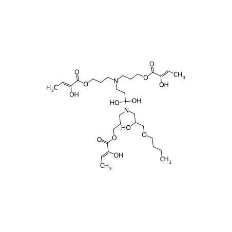 CC=C(O)C(=O)OCCCN(CCCOC(=O)C(O)=CC)CCC(O)(O)N(CCCOC(=O)C(O)=CC)CC(O)COCCCC